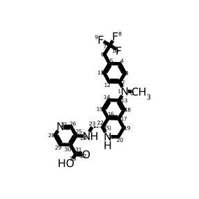 CN(c1ccc(CC(F)(F)F)cc1)c1ccc2c(c1)CCN[C@@H]2CNc1cnccc1C(=O)O